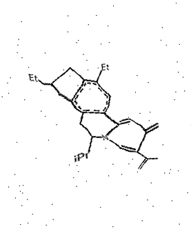 C=C(C)C1=CN2C(=CC1=C)c1cc(CC)c3c(c1CC2C(C)C)CC(CC)C3